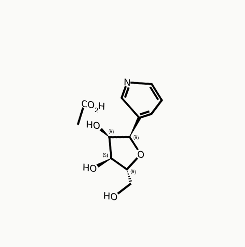 CC(=O)O.OC[C@H]1O[C@H](c2cccnc2)[C@H](O)[C@@H]1O